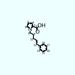 O=C(O)c1cccn1CCCCCc1ccccc1